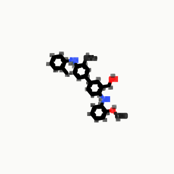 COc1cc(-c2ccc(Nc3ccccc3OC=O)c(CO)c2)ccc1Nc1ccccc1C